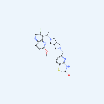 COc1ccc2ncc(F)c(C(C)N3CC4CN(Cc5ccc6c(n5)NC(=O)CS6)CC4C3)c2n1